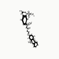 CS(=O)(=O)N1CC(=O)Oc2ccc([C@@H](O)CNCCOc3ccc4c(c3)[nH]c3ccccc34)cc21